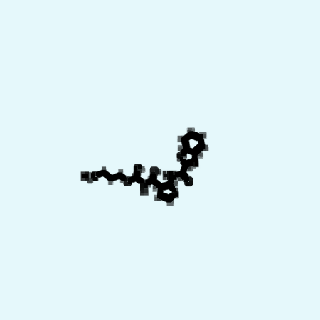 CCCCOC(=O)NC(=O)c1ccsc1NC(=O)c1nc2ccccc2s1